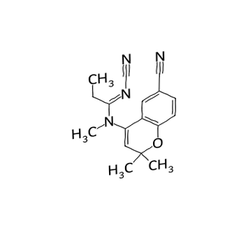 CCC(=NC#N)N(C)C1=CC(C)(C)Oc2ccc(C#N)cc21